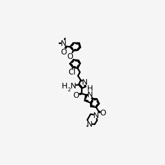 CN1CCN(C(=O)c2ccc3[nH]c(C(=O)C4=C(N)C(CCc5ccc(Oc6ccccc6C(=O)N(C)C)cc5Cl)N=C4)cc3c2)CC1